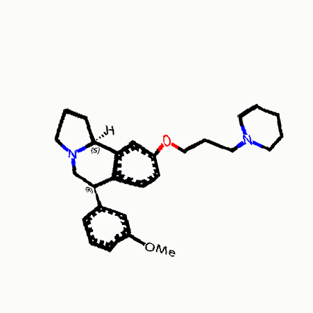 COc1cccc([C@H]2CN3CCC[C@H]3c3cc(OCCCN4CCCCC4)ccc32)c1